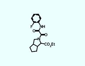 CCOC(=O)C1C2CCCC2CN1C(=O)C(=O)Nc1ccccc1F